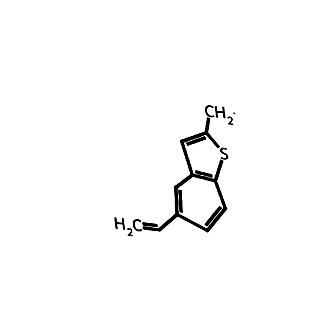 [CH2]c1cc2cc(C=C)ccc2s1